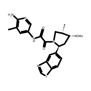 CO[C@@H]1C[C@@H](c2ccc3scnc3c2)N(C(=O)C(=O)Nc2cnc(N)c(C)c2)C[C@@H]1C